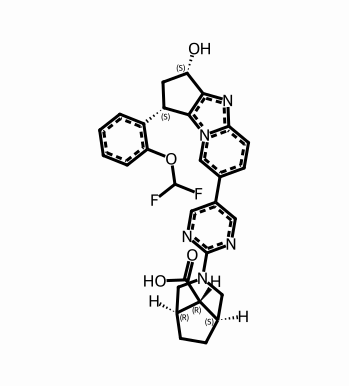 O=C(O)[C@@H]1[C@@H]2CC[C@H]1CN(c1ncc(-c3ccc4nc5c(n4c3)[C@H](c3ccccc3OC(F)F)C[C@@H]5O)cn1)C2